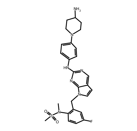 CN(c1ccc(F)cc1Cn1ccc2cnc(Nc3ccc(N4CCC(N)CC4)cc3)nc21)S(C)(=O)=O